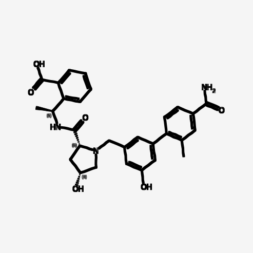 Cc1cc(C(N)=O)ccc1-c1cc(O)cc(CN2C[C@H](O)C[C@@H]2C(=O)N[C@@H](C)c2ccccc2C(=O)O)c1